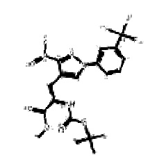 COC(=O)C(Cc1cn(-c2cccc(C(F)(F)F)c2)nc1[N+](=O)[O-])NC(=O)OC(C)(C)C